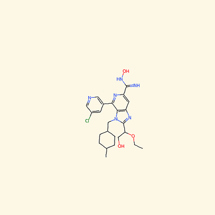 CCOC(CO)c1nc2cc(C(=N)NO)nc(-c3cncc(Cl)c3)c2n1CC1CCC(C)CC1